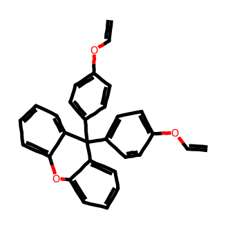 C=COc1ccc(C2(c3ccc(OC=C)cc3)c3ccccc3Oc3ccccc32)cc1